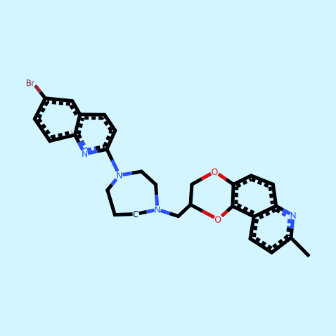 Cc1ccc2c3c(ccc2n1)OCC(CN1CCCN(c2ccc4cc(Br)ccc4n2)CC1)O3